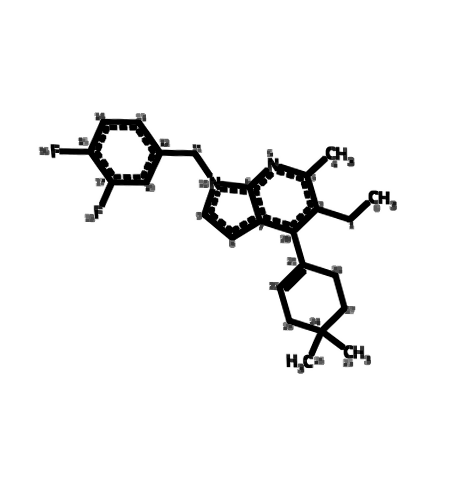 CCc1c(C)nc2c(ccn2Cc2ccc(F)c(F)c2)c1C1=CCC(C)(C)CC1